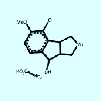 COc1ccc2c(c1Cl)C1CNCC1C2O.NC(=O)O